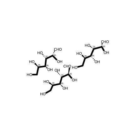 O=C[C@@H](O)[C@@H](O)[C@H](O)[C@H](O)CO.O=C[C@H](O)[C@@H](O)[C@H](O)[C@H](O)CO.O=C[C@H](O)[C@@H](O)[C@H](O)[C@H](O)CO